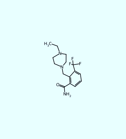 CCN1CCN(Cc2c(C(N)=O)cccc2C(F)(F)F)CC1